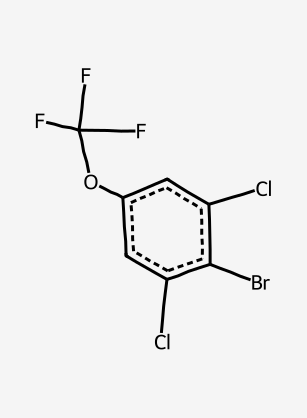 FC(F)(F)Oc1cc(Cl)c(Br)c(Cl)c1